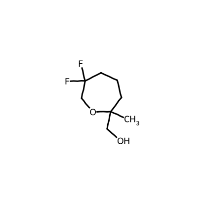 CC1(CO)CCCC(F)(F)CO1